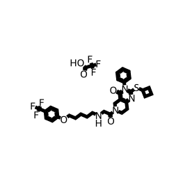 O=C(CNCCCCCOc1ccc(C(F)(F)F)cc1)N1CCc2nc(SC3CCC3)n(-c3ccccc3)c(=O)c2C1.O=C(O)C(F)(F)F